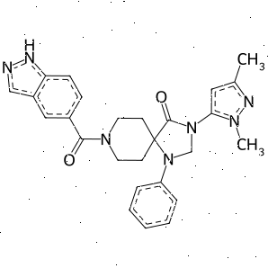 Cc1cc(N2CN(c3ccccc3)C3(CCN(C(=O)c4ccc5[nH]ncc5c4)CC3)C2=O)n(C)n1